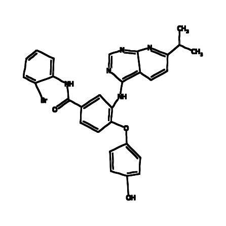 CC(C)c1ccc2c(Nc3cc(C(=O)Nc4ccccc4Br)ccc3Oc3ccc(O)cc3)ncnc2n1